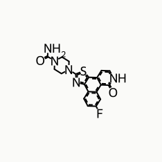 NC(=O)N1CCN(c2nc3c4ccc(F)cc4c4c(=O)[nH]ccc4c3s2)CC1